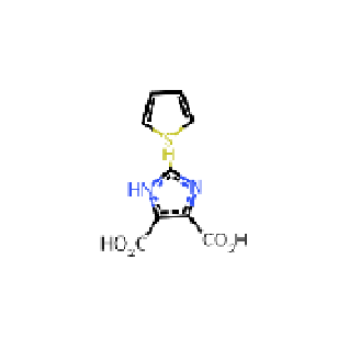 O=C(O)c1nc([SH]2C=CC=C2)[nH]c1C(=O)O